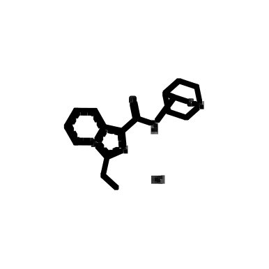 CCc1nc(C(=O)NC2CN3CCC2CC3)c2ccccn12.Cl